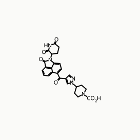 O=C1CCC(N2C(=O)c3cccc4c(C(=O)c5cnn(C6CCN(C(=O)O)CC6)c5)ccc2c34)C(=O)N1